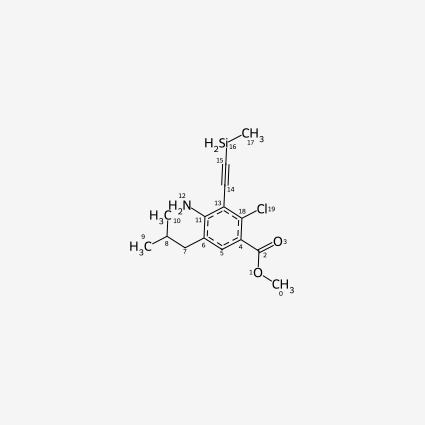 COC(=O)c1cc(CC(C)C)c(N)c(C#C[SiH2]C)c1Cl